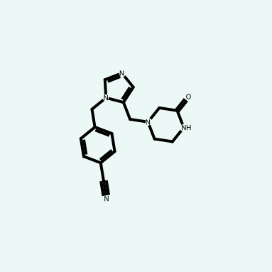 N#Cc1ccc(Cn2cncc2CN2CCNC(=O)C2)cc1